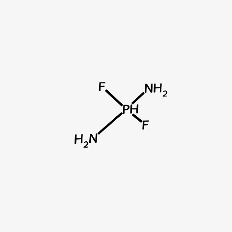 N[PH](N)(F)F